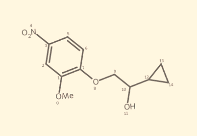 COc1cc([N+](=O)[O-])ccc1OCC(O)C1CC1